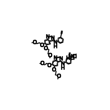 C#Cc1cccc(Nc2ncnc3cc(OCCOC)c(OCCOC)cc23)c1.C#Cc1cccc(Nc2ncnc3cc(OCCOC)c(OCCOC)cc23)c1.Cl.Cl